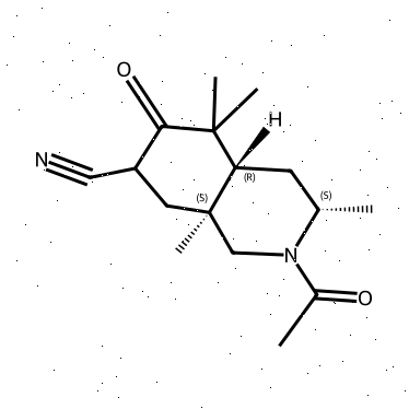 CC(=O)N1C[C@@]2(C)CC(C#N)C(=O)C(C)(C)[C@@H]2C[C@@H]1C